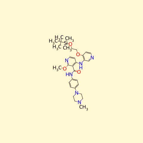 COc1nccc(Nc2cnccc2OCCO[Si](C)(C)C(C)(C)C)c1C(=O)Nc1ccc(N2CCN(C)CC2)cc1